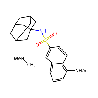 CC(=O)Nc1cccc2cc(S(=O)(=O)NC34CC5CC(CC(C5)C3)C4)ccc12.CNC